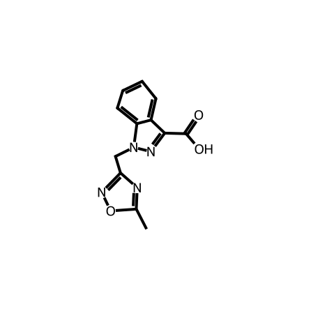 Cc1nc(Cn2nc(C(=O)O)c3ccccc32)no1